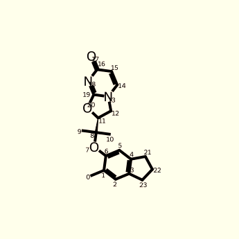 Cc1cc2c(cc1OC(C)(C)[C@@H]1Cn3ccc(=O)nc3O1)CCC2